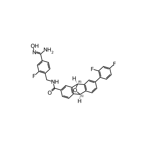 NC(=NO)c1ccc(CNC(=O)c2ccc3c(c2)[C@@H]2O[C@H]3c3ccc(-c4ccc(F)cc4F)cc32)c(F)c1